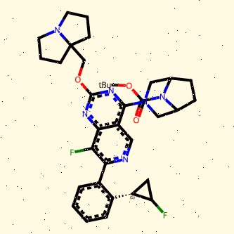 CC(C)(C)OC(=O)N1C2CCC1CN(c1nc(OCC34CCCN3CCC4)nc3c(F)c(-c4ccccc4[C@@H]4CC4F)ncc13)C2